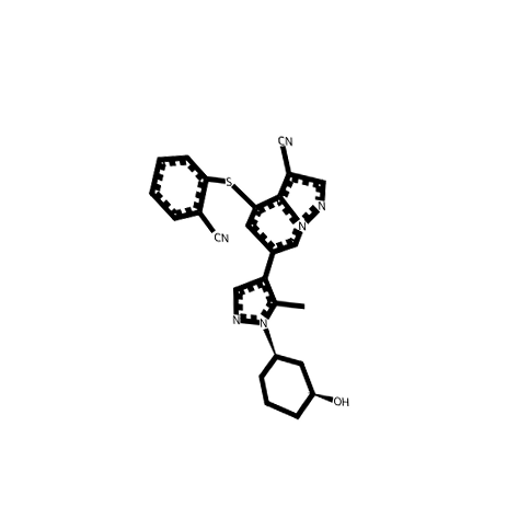 Cc1c(-c2cc(Sc3ccccc3C#N)c3c(C#N)cnn3c2)cnn1[C@@H]1CCC[C@H](O)C1